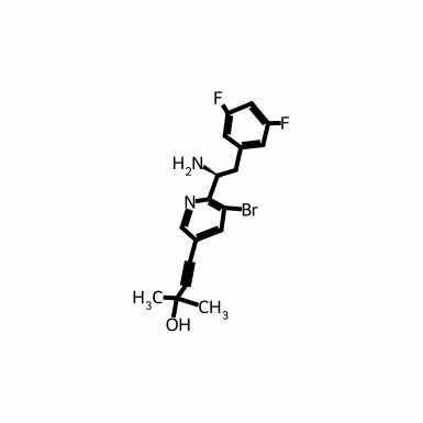 CC(C)(O)C#Cc1cnc([C@@H](N)Cc2cc(F)cc(F)c2)c(Br)c1